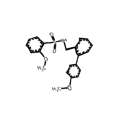 COc1ccc(-c2ccccc2CNS(=O)(=O)c2ccccc2OC)cc1